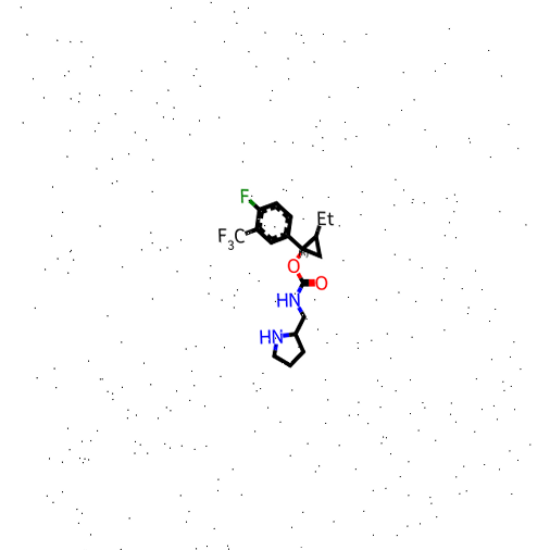 CCC1C[C@]1(OC(=O)NCC1CCCN1)c1ccc(F)c(C(F)(F)F)c1